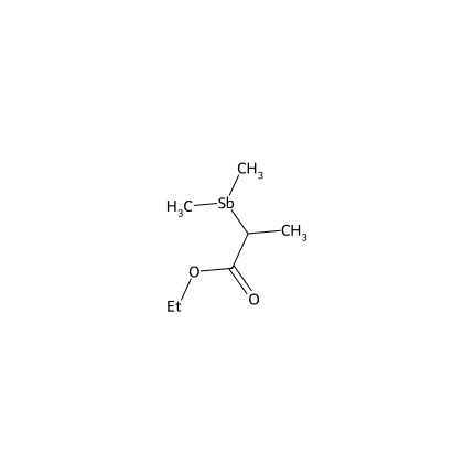 CCOC(=O)[CH](C)[Sb]([CH3])[CH3]